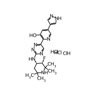 CC1(C)C[C@@H](Nc2ncc(-c3ncc(-c4cn[nH]c4)cc3O)nn2)[C@@H](F)C(C)(C)N1.Cl.Cl.Cl